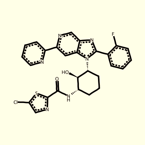 O=C(N[C@H]1CCC[C@@H](n2c(-c3ccccc3F)nc3cnc(-c4ccccn4)cc32)[C@@H]1O)c1ncc(Cl)s1